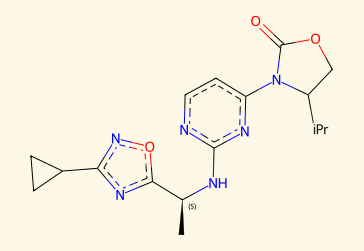 CC(C)C1COC(=O)N1c1ccnc(N[C@@H](C)c2nc(C3CC3)no2)n1